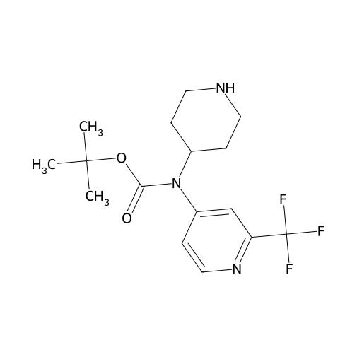 CC(C)(C)OC(=O)N(c1ccnc(C(F)(F)F)c1)C1CCNCC1